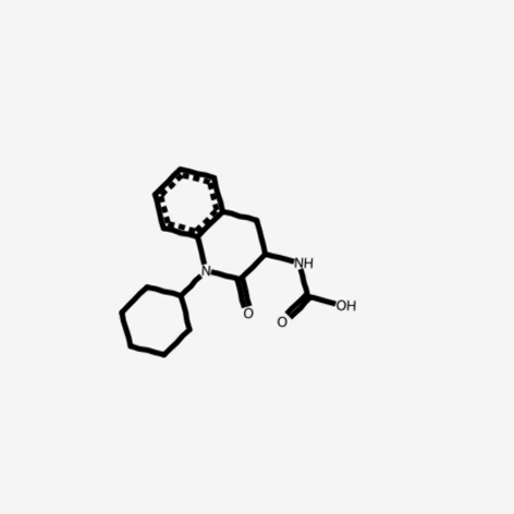 O=C(O)NC1Cc2ccccc2N(C2CCCCC2)C1=O